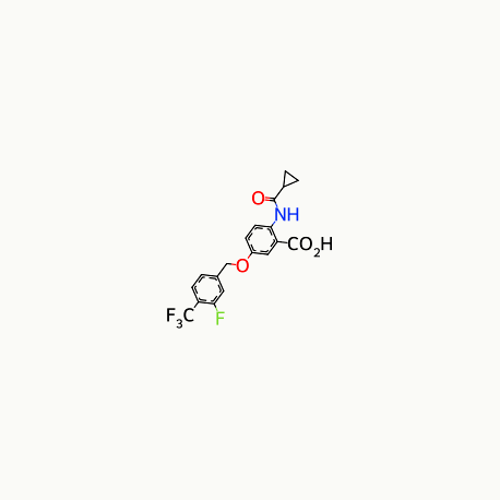 O=C(O)c1cc(OCc2ccc(C(F)(F)F)c(F)c2)ccc1NC(=O)C1CC1